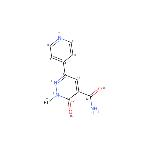 CCn1nc(-c2ccncc2)cc(C(N)=O)c1=O